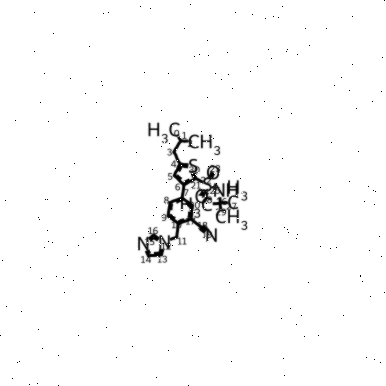 CC(C)Cc1cc(-c2ccc(Cn3ccnc3)c(C#N)c2)c(S(=O)(=O)NC(C)(C)C)s1